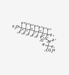 O=C(O)C(F)(F)N(F)[S+]([O-])C(F)(F)C(F)(F)C(F)(F)C(F)(F)C(F)(F)C(F)(F)C(F)(F)C(F)(F)F